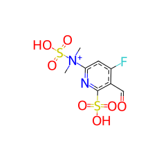 C[N+](C)(c1cc(F)c(C=O)c(S(=O)(=O)O)n1)S(=O)(=O)O